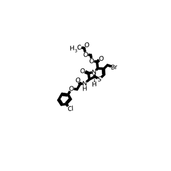 CC(=O)OCOC(=O)C1C(CBr)=CS[C@H]2C(NC(=O)COc3cccc(Cl)c3)C(=O)N12